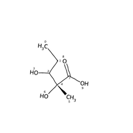 CCC(O)[C@@](C)(O)C(=O)O